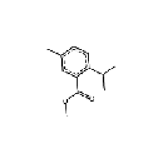 COC(=O)c1cc(C)ccc1C(C)C